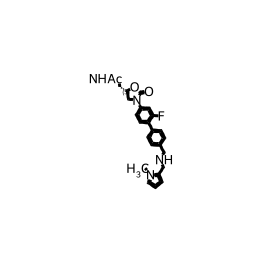 CC(=O)NC[C@H]1CN(c2ccc(-c3ccc(CNCc4cccn4C)cc3)c(F)c2)C(=O)O1